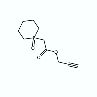 C#CCOC(=O)CP1(=O)CCCCC1